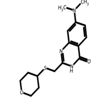 CN(C)c1ccc2c(=O)[nH]c(CSC3CCOCC3)nc2c1